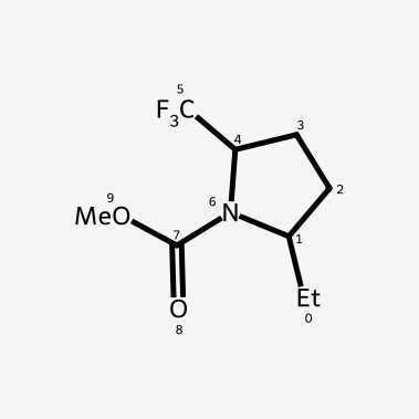 CCC1CCC(C(F)(F)F)N1C(=O)OC